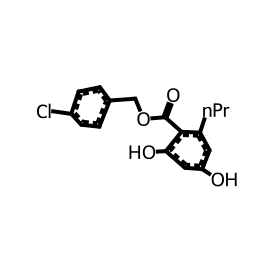 CCCc1cc(O)cc(O)c1C(=O)OCc1ccc(Cl)cc1